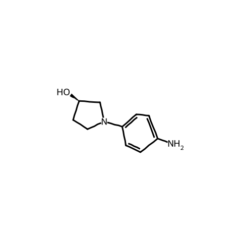 Nc1ccc(N2CC[C@@H](O)C2)cc1